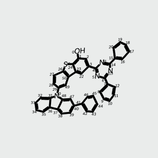 Oc1cc(-c2nc(-c3ccccc3)nc(-c3ccccc3)n2)cc2c1sc1ccc(-n3c4ccccc4c4ccc(-c5ccccc5)cc43)cc12